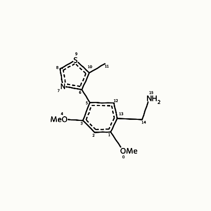 COc1cc(OC)c(-c2n[c]sc2C)cc1CN